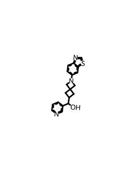 OC(c1cccnc1)C1CC2(C1)CN(c1ccc3ncsc3c1)C2